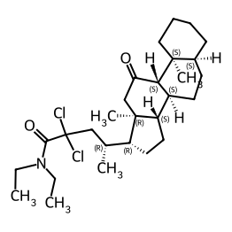 CCN(CC)C(=O)C(Cl)(Cl)C[C@@H](C)[C@H]1CC[C@H]2[C@@H]3CC[C@@H]4CCCC[C@]4(C)[C@H]3C(=O)C[C@]12C